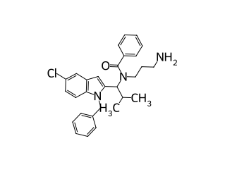 CC(C)C(c1cc2cc(Cl)ccc2n1Cc1ccccc1)N(CCCN)C(=O)c1ccccc1